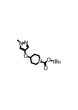 Cn1cc(OC2CCN(C(=O)OC(C)(C)C)CC2)cn1